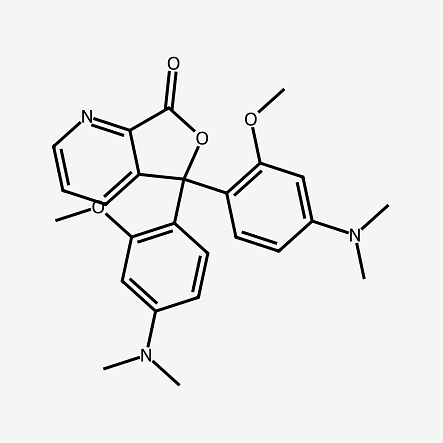 COc1cc(N(C)C)ccc1C1(c2ccc(N(C)C)cc2OC)OC(=O)c2ncccc21